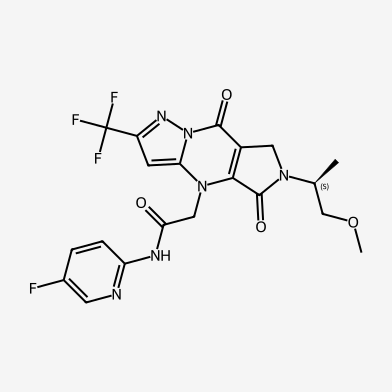 COC[C@H](C)N1Cc2c(n(CC(=O)Nc3ccc(F)cn3)c3cc(C(F)(F)F)nn3c2=O)C1=O